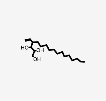 C=CC(CCCCCCCCCCCCC)C(O)C(O)CO